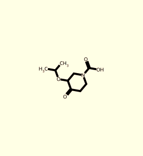 CC(C)OC1CN(C(=O)O)CCC1=O